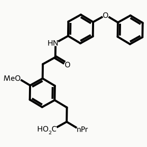 CCCC(Cc1ccc(OC)c(CC(=O)Nc2ccc(Oc3ccccc3)cc2)c1)C(=O)O